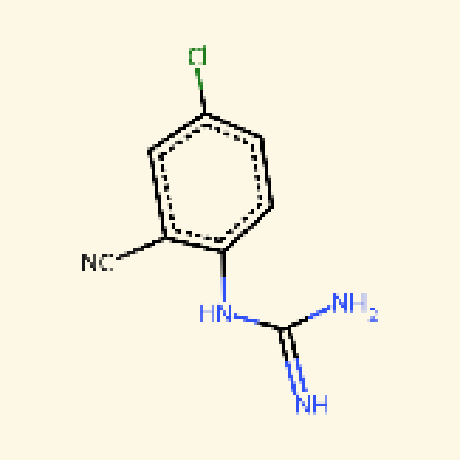 N#Cc1cc(Cl)ccc1NC(=N)N